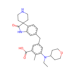 CCN(c1cc(Cc2ccc3c(c2)NC(=O)C32CCNCC2)cc(C(=O)O)c1C)C1CCOCC1